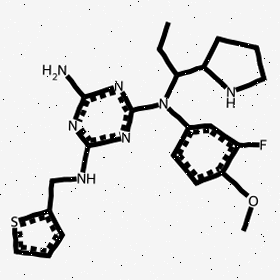 CCC(C1CCCN1)N(c1ccc(OC)c(F)c1)c1nc(N)nc(NCc2cccs2)n1